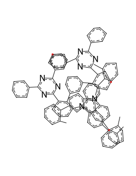 Cc1ccccc1-c1ccc2c(c1)c1cc(-c3ccccc3C)ccc1n2-c1cccc(-c2nc(-c3ccccc3)nc(-c3ccccc3)n2)c1-c1cccc(-c2c(-c3nc(-c4ccccc4)nc(-c4ccccc4)n3)cccc2-n2c3ccc(-c4ccccc4C)cc3c3cc(-c4ccccc4C)ccc32)c1